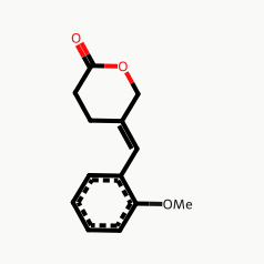 COc1ccccc1/C=C1\CCC(=O)OC1